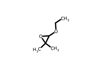 CCOC1OC1(C)C